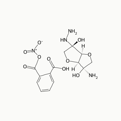 NN[C@@]1(O)CO[C@H]2[C@@H]1OC[C@@]2(N)O.O=C(O)c1ccccc1C(=O)O[N+](=O)[O-]